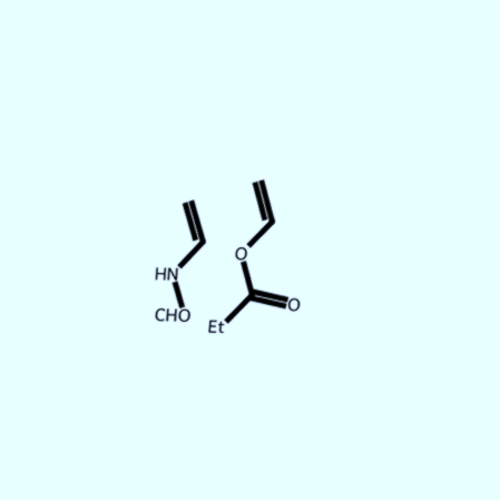 C=CNC=O.C=COC(=O)CC